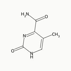 Cc1c[nH]c(=O)nc1C(N)=O